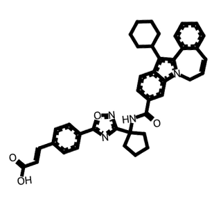 O=C(O)/C=C/c1ccc(-c2nc(C3(NC(=O)c4ccc5c(C6CCCCC6)c6n(c5c4)CC=Cc4ccccc4-6)CCCC3)no2)cc1